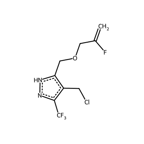 C=C(F)COCc1[nH]nc(C(F)(F)F)c1CCl